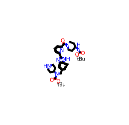 CC(C)(C)OC(=O)NC1CCN(C(=O)c2cccc(-c3nc4cc(CN(C(=O)OC(C)(C)C)C5CCNCC5)ccc4[nH]3)n2)CC1